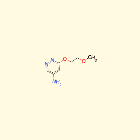 COCCOc1cc(N)cnn1